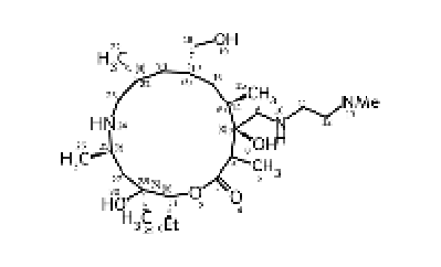 CC[C@H]1OC(=O)C(C)[C@@](O)(CNCCNC)[C@H](C)C[C@@H](CO)C[C@@H](C)CN[C@H](C)C[C@]1(C)O